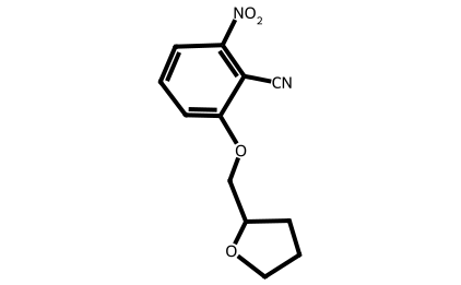 N#Cc1c(OCC2CCCO2)cccc1[N+](=O)[O-]